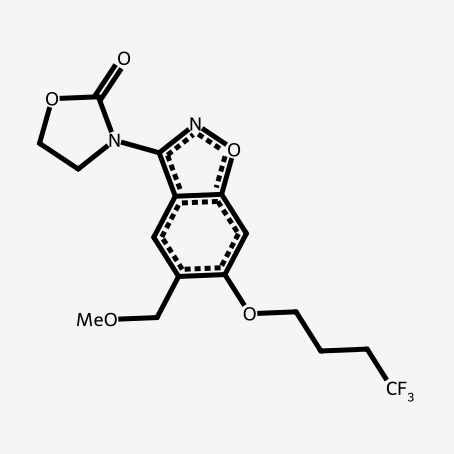 COCc1cc2c(N3CCOC3=O)noc2cc1OCCCC(F)(F)F